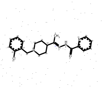 C/C(=N\NC(=O)c1ccccn1)C1CCN(Cc2ccccc2Cl)CC1